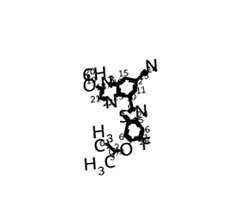 C[CH][C@H](C)Oc1cc2sc(-c3cc(C#N)cc4nc(OC)cnc34)nc2cc1F